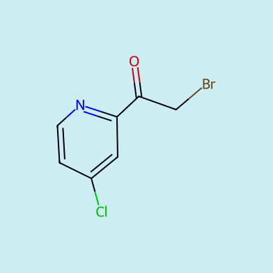 O=C(CBr)c1cc(Cl)ccn1